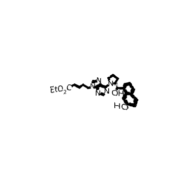 CCOC(=O)CCCCn1cnc2c(N3CCC[C@@H]3C(O)c3cccc4ccc(O)cc34)ncnc21